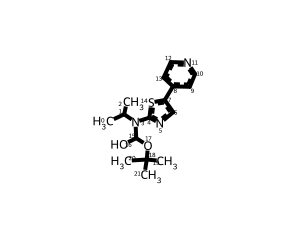 CC(C)N(c1ncc(-c2ccncc2)s1)C(O)OC(C)(C)C